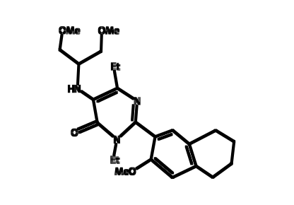 CCc1nc(-c2cc3c(cc2OC)CCCC3)n(CC)c(=O)c1NC(COC)COC